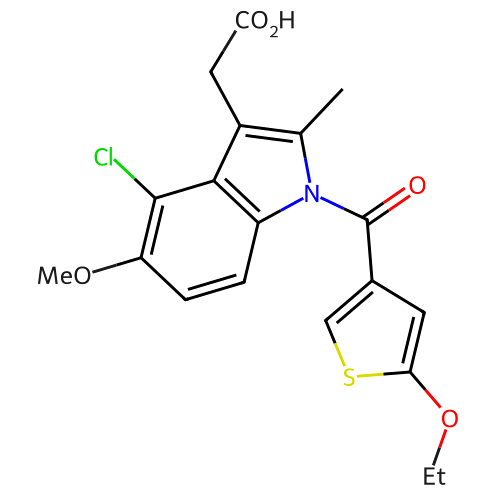 CCOc1cc(C(=O)n2c(C)c(CC(=O)O)c3c(Cl)c(OC)ccc32)cs1